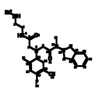 CCNCCNC(=O)CN(CC(=O)N(C)N1Cc2ccccc2C1)C1CC(C#N)=C(F)C=C1C